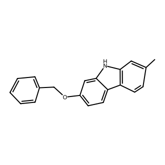 Cc1ccc2c(c1)[nH]c1cc(OCc3ccccc3)ccc12